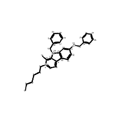 CCCCCC[n+]1ccc2c3ccc(OCc4ccccc4)cc3n(Cc3ccccc3)c2c1C